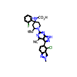 Cn1cc2c(Cl)c(-c3n[nH]c4nc(N5CCC(NC(=O)O)(c6ccccc6F)CC5C(C)(C)C)nc(C#N)c34)ccc2n1